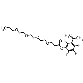 C=C(C)c1c(F)c(F)c(F)c(OC(=O)CCOCCOCCOCCOCCC)c1F